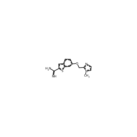 Cn1ccnc1COc1ccc2cc(C(=N)N)sc2c1